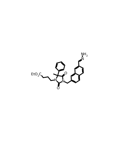 CCOC(=O)CCCN1C(=O)N(Cc2ccc3ccc(C=NN)cc3c2)C(=O)C1(C)c1ccccc1